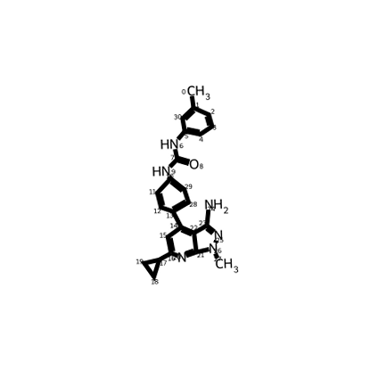 Cc1cccc(NC(=O)Nc2ccc(-c3cc(C4CC4)nc4c3c(N)nn4C)cc2)c1